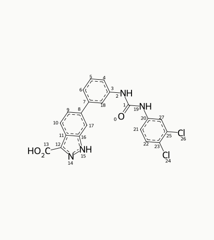 O=C(Nc1cccc(-c2ccc3c(C(=O)O)n[nH]c3c2)c1)Nc1ccc(Cl)c(Cl)c1